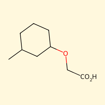 CC1CCCC(OCC(=O)O)C1